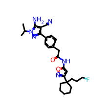 CC(C)n1nc(-c2ccc(CC(=O)Nc3cc(C4(CCCF)CCCCC4)no3)cc2)c(C#N)c1N